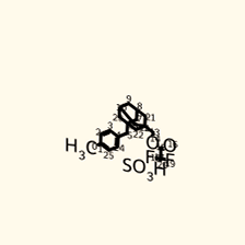 Cc1ccc(CC23CC4CC(CC(COC(=O)C(F)(F)S(=O)(=O)O)(C4)C2)C3)cc1